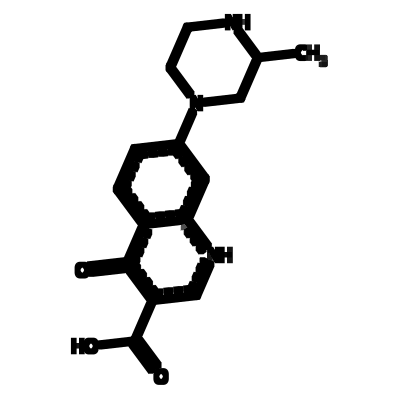 CC1CN(c2ccc3c(=O)c(C(=O)O)c[nH]c3c2)CCN1